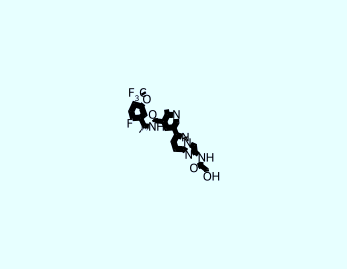 Cc1ncc(-c2ccc3nc(NC(=O)CO)cn3n2)cc1C(=O)N[C@H](C)c1cc(OC(F)(F)F)ccc1F